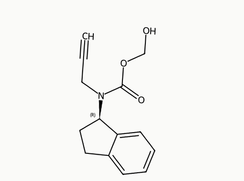 C#CCN(C(=O)OCO)[C@@H]1CCc2ccccc21